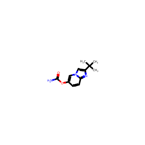 CC(C)(C)c1cn2cc(OC(N)=O)ccc2n1